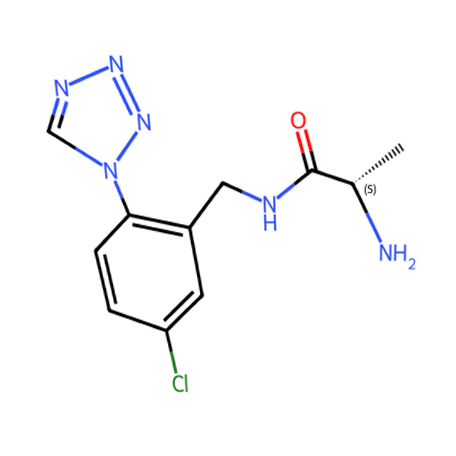 C[C@H](N)C(=O)NCc1cc(Cl)ccc1-n1cnnn1